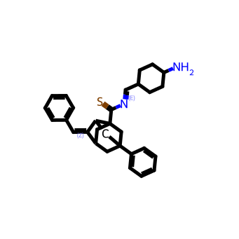 NC1CCC(/C=N/C(=S)C23CC4CC(c5ccccc5)(CC2/C4=C\c2ccccc2)C3)CC1